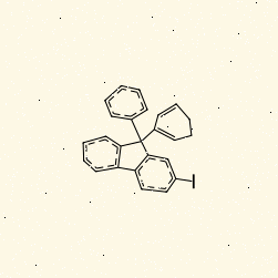 Ic1ccc2c(c1)C(C1=CCCC=C1)(c1ccccc1)c1ccccc1-2